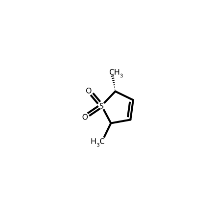 CC1C=C[C@@H](C)S1(=O)=O